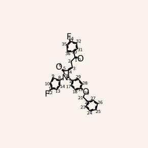 O=C(C/C=C1\C(=O)N(c2ccc(F)cc2)[C@@H]1c1ccc(OCc2ccccc2)cc1)c1ccc(F)cc1